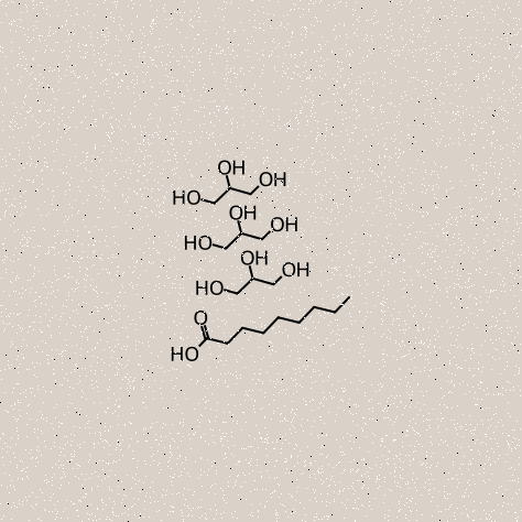 CCCCCCCCC(=O)O.OCC(O)CO.OCC(O)CO.OCC(O)CO